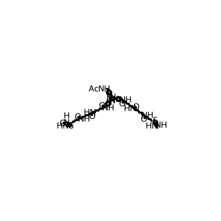 C=C1NC2CS[C@@H](CCCCC(=O)NCCCCCC(=O)NCCCCCC(=O)NC3CCN(c4nc(N5CCC(NC(C)=O)CC5)nc(N5CCC(NC(=O)CCCCCNC(=O)CCCCCNC(=O)CCCC[C@@H]6SCC7NC(=O)NC76)CC5)n4)CC3)C2N1